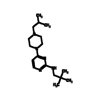 C[C](C)CN1CCN(c2ccnc(NCC(C)(C)C)n2)CC1